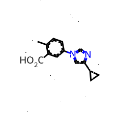 Cc1ccc(-n2cnc(C3CC3)c2)cc1C(=O)O